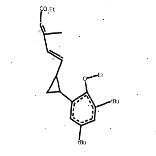 CCOC(=O)/C=C(C)/C=C/C1CC1c1cc(C(C)(C)C)cc(C(C)(C)C)c1OCC